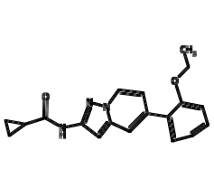 CCOc1ccccc1-c1ccn2nc(NC(=O)C3CC3)cc2c1